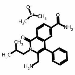 CC(C)Cn1c(CN)c(-c2ccccc2)c2cc(C(N)=O)ccc2c1=O.C[S+](C)[O-]